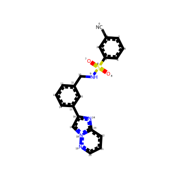 N#Cc1cccc(S(=O)(=O)NCc2cccc(-c3cn4ncccc4n3)c2)c1